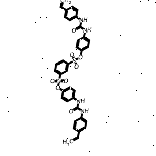 C=Cc1ccc(NC(=O)Nc2ccc(OS(=O)(=O)c3cccc(S(=O)(=O)Oc4ccc(NC(=O)Nc5ccc(C=C)cc5)cc4)c3)cc2)cc1